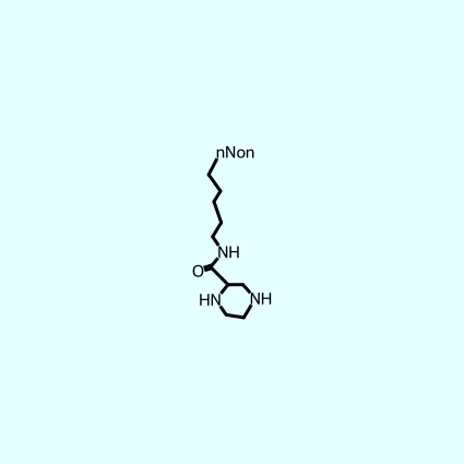 CCCCCCCCCCCCCCNC(=O)C1CNCCN1